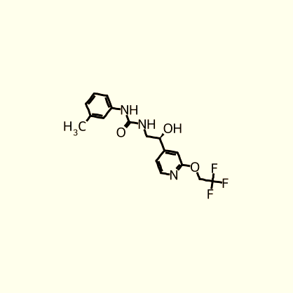 Cc1cccc(NC(=O)NC[C@@H](O)c2ccnc(OCC(F)(F)F)c2)c1